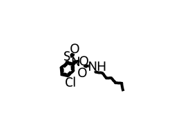 CCCCCCCNC(=O)On1c(=O)sc2ccc(Cl)cc21